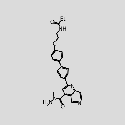 CCC(=O)NCCOc1ccc(-c2ccc(-c3cc(C(=O)NN)c4cnccc4n3)cc2)cc1